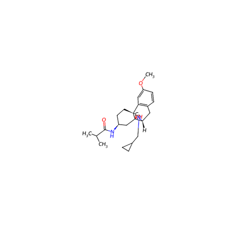 COc1ccc2c(c1)[C@@]13CC[C@H](NC(=O)C(C)C)C[C@@]1(O)[C@@H](C2)N(CC1CC1)CC3